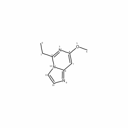 CCc1nc(OC)cc2n[c]cn12